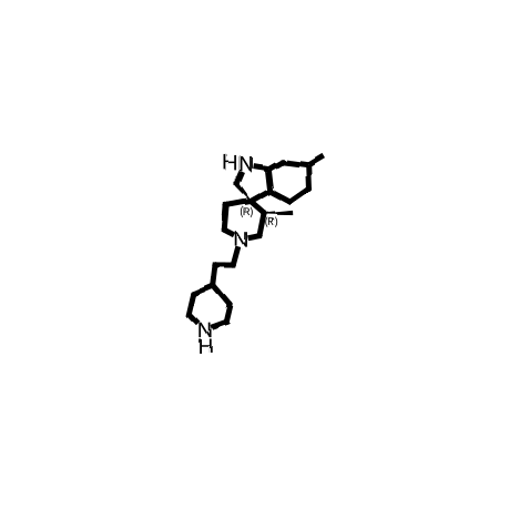 CC1CCC2C(C1)NC[C@@]21CCN(CCC2CCNCC2)C[C@@H]1C